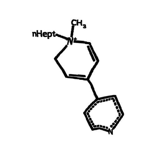 CCCCCCC[N+]1(C)C=CC(c2ccncc2)=CC1